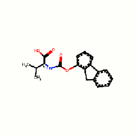 CC(C)[C@H](NC(=O)Oc1cccc2c1Cc1ccccc1-2)C(=O)O